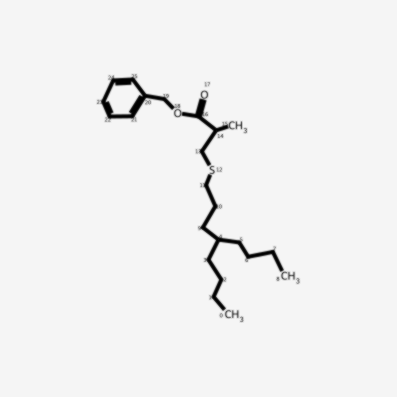 CCCCC(CCCC)CCCSCC(C)C(=O)OCc1ccccc1